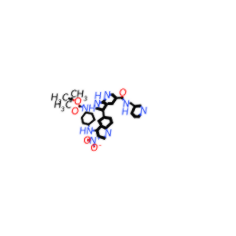 CC(C)(C)OC(=O)N[C@H]1CC[C@H](Nc2c([N+](=O)[O-])cnc3ccc(-c4c[nH]c5ncc(C(=O)NCc6cccnc6)cc45)cc23)CC1